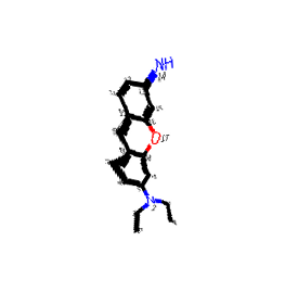 CCN(CC)c1ccc2cc3ccc(=N)cc-3oc2c1